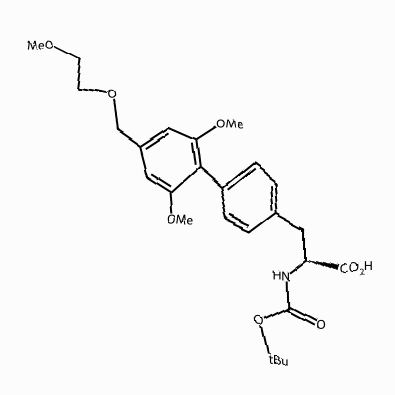 COCCOCc1cc(OC)c(-c2ccc(C[C@H](NC(=O)OC(C)(C)C)C(=O)O)cc2)c(OC)c1